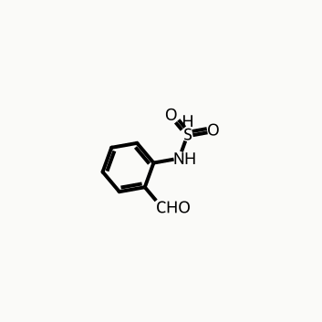 O=Cc1ccccc1N[SH](=O)=O